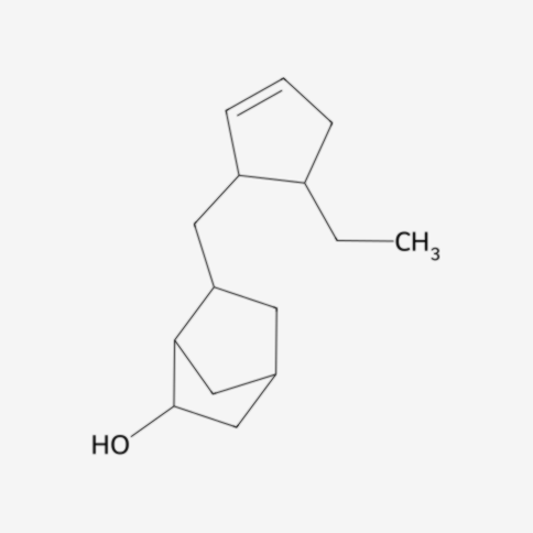 CCC1CC=CC1CC1CC2CC(O)C1C2